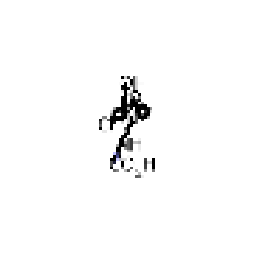 O=C(O)/C=C/CNCCCCN1c2ccccc2C(=O)N(CCCO)c2ccc(Cl)cc21